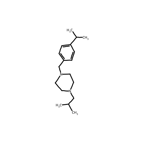 CC(C)CN1CCN(Cc2ccc(C(C)C)cc2)CC1